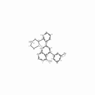 Oc1ncnc2nc(-c3cccnc3C3CNCCO3)cc(-c3cccc(Br)c3)c12